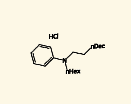 CCCCCCCCCCCCN(CCCCCC)c1ccccc1.Cl